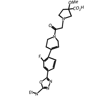 CCNc1nnc(-c2ccc(C3=CCN(C(=O)CN4CCC(OC)(C(=O)O)C4)CC3)c(F)c2)o1